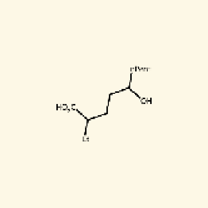 CCCCCC(O)CCC(CC)C(=O)O